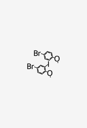 COc1ccc(Br)cc1.COc1ccc(Br)cc1I